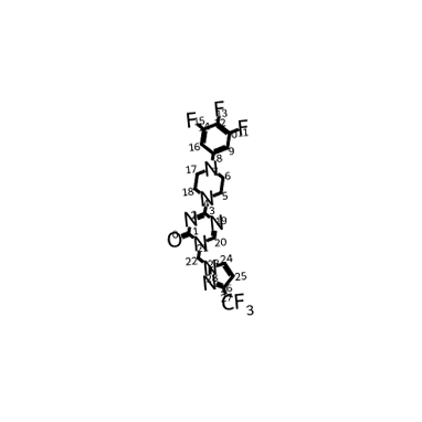 O=c1nc(N2CCN(c3cc(F)c(F)c(F)c3)CC2)ncn1Cn1ccc(C(F)(F)F)n1